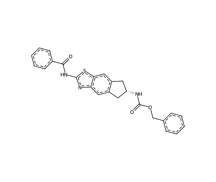 O=C(N[C@@H]1Cc2cc3nc(NC(=O)c4ccccc4)sc3cc2C1)OCc1ccccc1